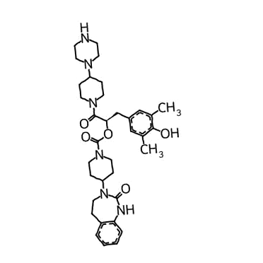 Cc1cc(C[C@@H](OC(=O)N2CCC(N3CCc4ccccc4NC3=O)CC2)C(=O)N2CCC(N3CCNCC3)CC2)cc(C)c1O